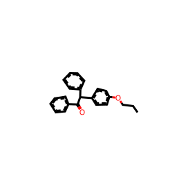 CCCOc1ccc(C(C(=O)c2ccccc2)c2ccccc2)cc1